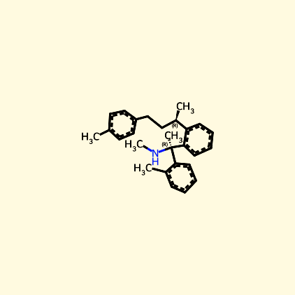 CN[C@](C)(c1ccccc1C)c1ccccc1[C@H](C)CCc1ccc(C)cc1